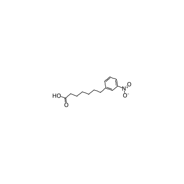 O=C(O)CCCCCCc1cccc([N+](=O)[O-])c1